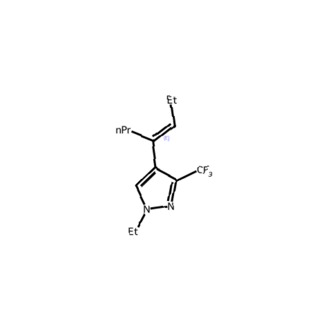 CC/C=C(\CCC)c1cn(CC)nc1C(F)(F)F